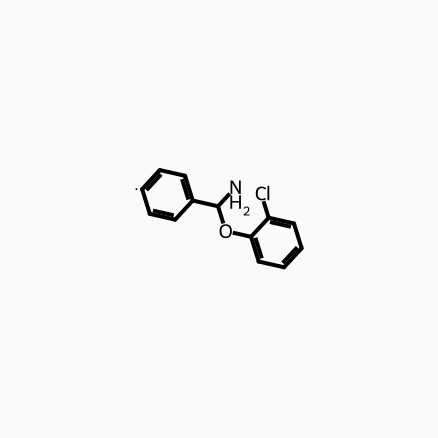 NC(Oc1ccccc1Cl)c1cc[c]cc1